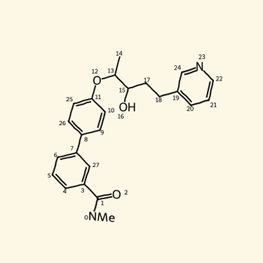 CNC(=O)c1cccc(-c2ccc(OC(C)C(O)CCc3cccnc3)cc2)c1